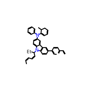 C=CC(=C)/C=C\C(=C/C)c1ccc2c(c1)c1cc(N(C3=CC=CCC3C)c3ccccc3)ccc1n2C(/C=C\C=C/C)CC